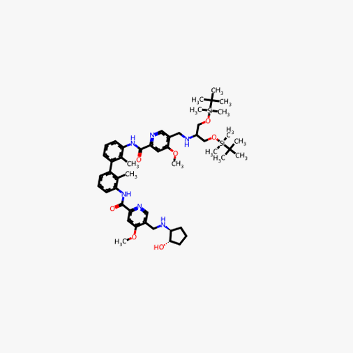 COc1cc(C(=O)Nc2cccc(-c3cccc(NC(=O)c4cc(OC)c(CN[C@H]5CCC[C@@H]5O)cn4)c3C)c2C)ncc1CNC(CO[Si](C)(C)C(C)(C)C)CO[Si](C)(C)C(C)(C)C